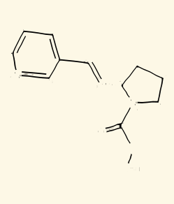 CC(C)(C)OC(=O)N1CCC[C@H]1/C=C/c1cccnc1